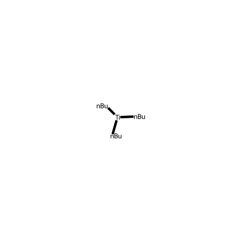 CCC[CH2][Ti]([CH2]CCC)[CH2]CCC